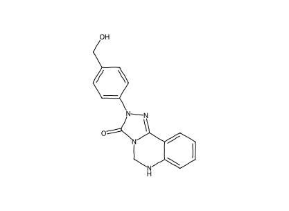 O=c1n(-c2ccc(CO)cc2)nc2n1CNc1ccccc1-2